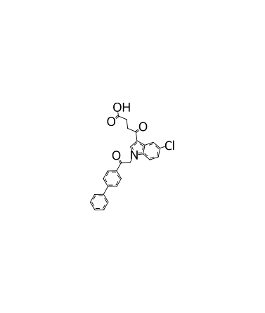 O=C(O)CCC(=O)c1cn(CC(=O)c2ccc(-c3ccccc3)cc2)c2ccc(Cl)cc12